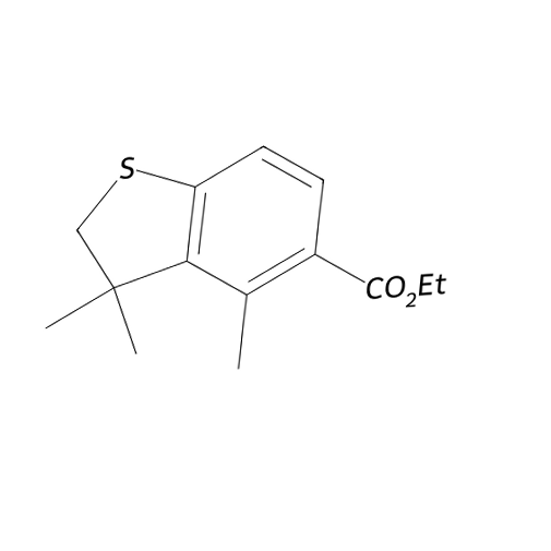 CCOC(=O)c1ccc2c(c1C)C(C)(C)CS2